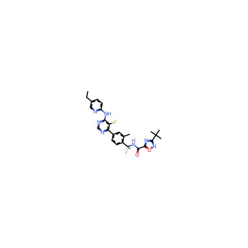 CCc1ccc(Nc2ncnc(-c3ccc([C@@H](C)NC(=O)c4nc(C(C)(C)C)no4)c(C)c3)c2F)nc1